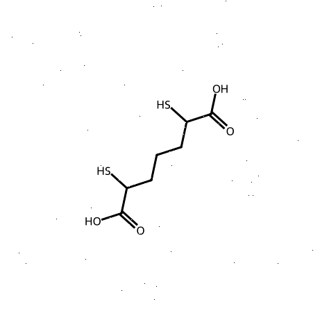 O=C(O)C(S)CCCC(S)C(=O)O